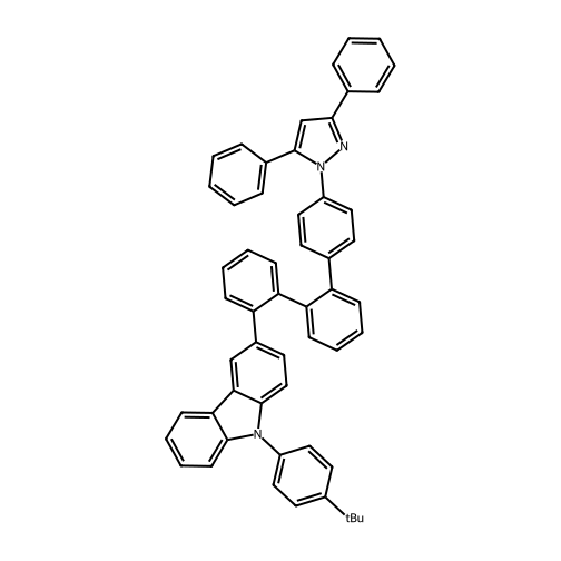 CC(C)(C)c1ccc(-n2c3ccccc3c3cc(-c4ccccc4-c4ccccc4-c4ccc(-n5nc(-c6ccccc6)cc5-c5ccccc5)cc4)ccc32)cc1